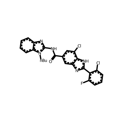 CCCCn1c(NC(=O)c2cc(Cl)c3[nH]c(-c4c(F)cccc4Cl)nc3c2)nc2ccccc21